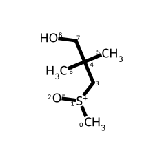 C[S+]([O-])CC(C)(C)CO